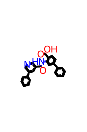 O=C(Nc1cc(-c2ccccc2)ccc1C(=O)O)c1cncc(-c2ccccc2)c1